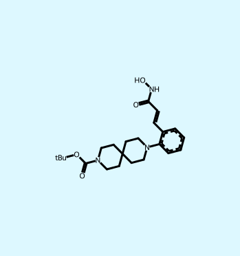 CC(C)(C)OC(=O)N1CCC2(CC1)CCN(c1ccccc1/C=C/C(=O)NO)CC2